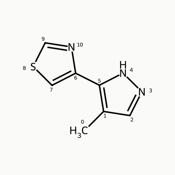 Cc1cn[nH]c1-c1cscn1